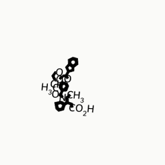 Cc1cc(OC(C2Cc3ccccc3C2)C2OCCC(C)O2)ccc1C(=O)n1c(C)c(CC(=O)O)c2ccccc21